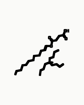 CCCCCCCCCCC=COC(=O)CCC(=O)O.CCC[CH2][Sn]([CH2]CCC)[CH2]CCC